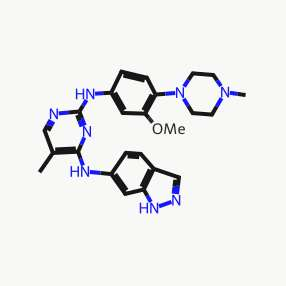 COc1cc(Nc2ncc(C)c(Nc3ccc4cn[nH]c4c3)n2)ccc1N1CCN(C)CC1